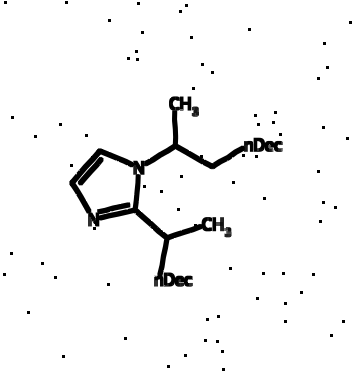 CCCCCCCCCCCC(C)n1ccnc1C(C)CCCCCCCCCC